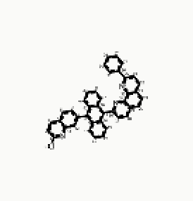 Clc1ccc2ccc(-c3c4ccccc4c(-c4ccc5ccc6ccc(-c7ccccc7)nc6c5n4)c4ccccc34)cc2n1